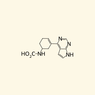 O=C(O)NC1CCC=C(c2ncnc3[nH]ccc23)C1